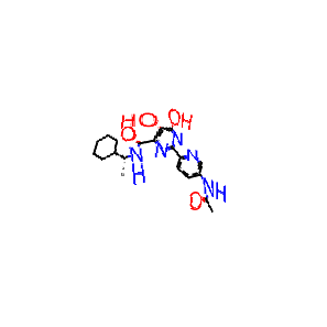 CC(=O)Nc1ccc(-c2nc(O)c(O)c(C(=O)N[C@H](C)C3CCCCC3)n2)nc1